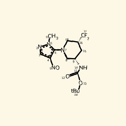 Cn1ncc(N=O)c1N1C[C@@H](NC(=O)OC(C)(C)C)C[C@@H](C(F)(F)F)C1